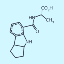 C[C@H](NC(=O)c1cccc2c1NC1CCCC21)C(=O)O